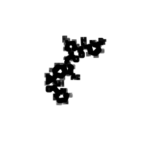 CC(=O)c1cn(CC(=O)N2C[C@H](F)C[C@H]2C(=O)Nc2cccc(Br)n2)c2ccc(C3(NC(=O)c4ncccn4)CC3)cc12